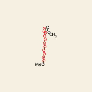 COCCOCCOCCOCCOCCOCCOCCOCCOCCOC(=O)C1=C(c2ccc(C)cc2)c2ccccc2C1=O